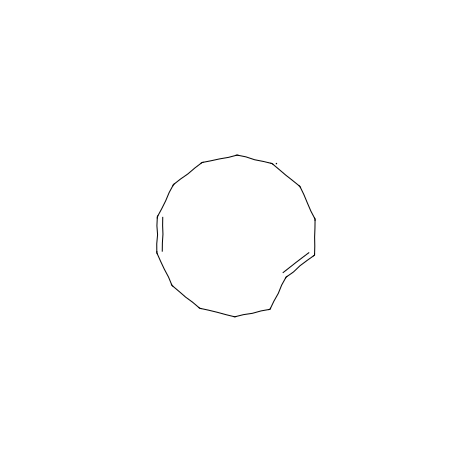 [CH]1CC/C=C/CCCC/C=C\CCC1